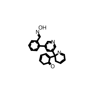 O=C1CC=CC=C1C1(c2cncc(-c3ccccc3C=NO)c2)CC=CC=N1